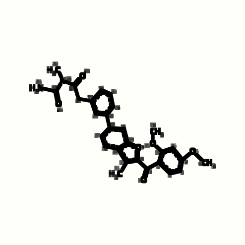 COc1ccc(C(=O)c2oc3cc(-c4cccc(CC(=O)N(C)C(N)=O)c4)ccc3c2C)c(OC)c1